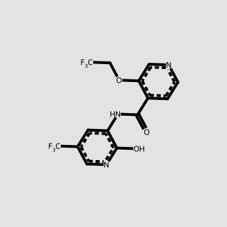 O=C(Nc1cc(C(F)(F)F)cnc1O)c1ccncc1OCC(F)(F)F